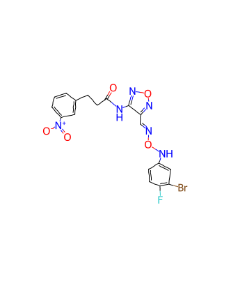 O=C(CCc1cccc([N+](=O)[O-])c1)Nc1nonc1/C=N/ONc1ccc(F)c(Br)c1